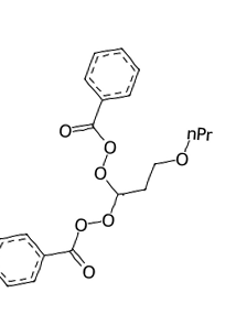 [CH2]CCOCC[C](OOC(=O)c1ccccc1)OOC(=O)c1ccccc1